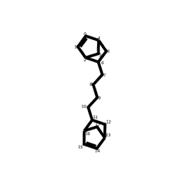 C1=CC2CC1CC2CCCCC1CC2C=CC1C2